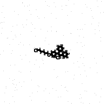 ClCCCCCOc1ccc(/C(=C(\Cl)c2ccccc2)c2ccccc2)cc1